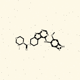 COc1cc2[nH]sc2cc1Nc1ncnc2sc3c(c12)CC[C@H](C(=O)N1CCOC[C@H]1C)C3